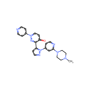 CN1CCN(c2cc(-n3nccc3-c3nn(-c4ccncc4)ccc3=O)ccn2)CC1